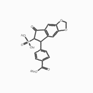 COC(=O)c1ccc(C2c3cc4c(cc3C(=O)C2P(=O)(O)O)OCO4)cc1